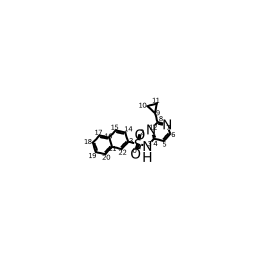 O=S(=O)(Nc1ccnc(C2CC2)n1)c1ccc2ccccc2c1